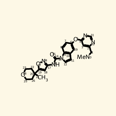 CNCc1cc(Oc2ccc3c(ccn3C(=O)Nc3cc(C4(C)CCOCC4)on3)c2)ncn1